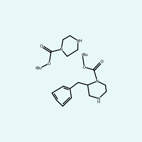 CC(C)(C)OC(=O)N1CCNCC1.CC(C)(C)OC(=O)N1CCNCC1Cc1ccccc1